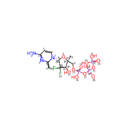 C=C1N=C(N)C=CN1[C@@H]1O[C@](C)(COP(=O)(O)OP(=O)(O)OP(=O)(O)O)[C@@H](O)C1(F)F